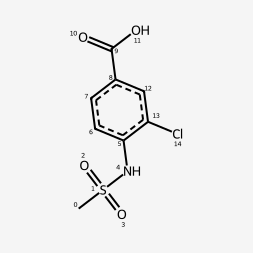 CS(=O)(=O)Nc1ccc(C(=O)O)cc1Cl